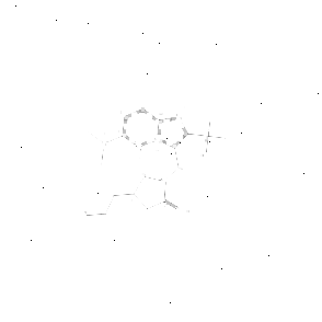 CCCC1CC(=O)N(Cc2c(C(F)(F)F)nc3ccc(N(C)C)nn23)C1